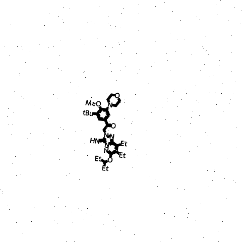 CCc1c(OC(CC)CC)nn2c(=N)n(CC(=O)c3cc(N4CCOCC4)c(OC)c(C(C)(C)C)c3)nc2c1CC